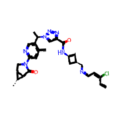 C=C/C(Cl)=C\C=N/C[C@H]1C[C@@H](NC(=O)c2cn(C(C)c3cnc(N4CC5C(C4=O)[C@@H]5C)cc3C)nn2)C1